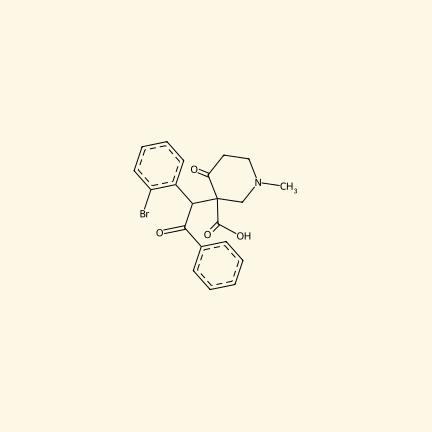 CN1CCC(=O)C(C(=O)O)(C(C(=O)c2ccccc2)c2ccccc2Br)C1